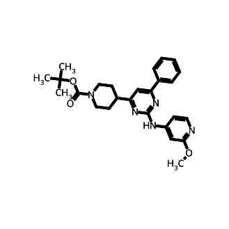 COc1cc(Nc2nc(-c3ccccc3)cc(C3CCN(C(=O)OC(C)(C)C)CC3)n2)ccn1